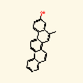 Cc1cc2c(ccc3c4ccccc4ccc32)c2ccc(O)cc12